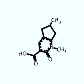 CC1Cc2cc(C(=O)O)c(=O)n(C)c2C1